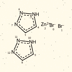 [Br-].[Br-].[Zn+2].c1c[nH]nn1.c1c[nH]nn1